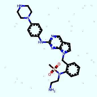 CS(=O)(=O)N(CCN)c1ccccc1Cn1ccc2cnc(Nc3ccc(N4CCNCC4)cc3)nc21